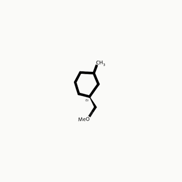 COC[C@H]1CCCC(C)C1